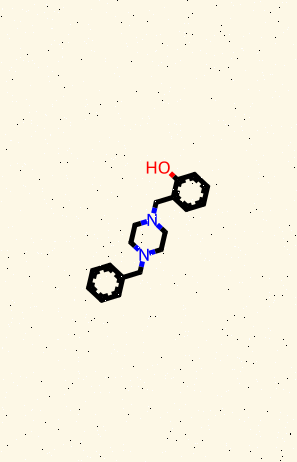 Oc1ccccc1CN1CCN(Cc2ccccc2)CC1